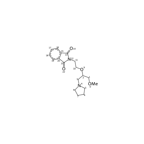 COCC(CN1CCCC1)OCCN1C(=O)c2ccccc2C1=O